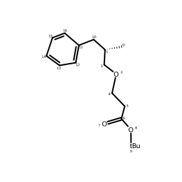 C[C@H](COCCC(=O)OC(C)(C)C)Cc1ccccc1